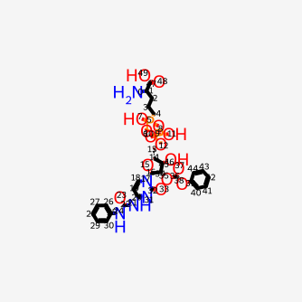 NC(CCCP(=O)(O)OP(=O)(O)OC[C@H]1O[C@@H](n2ccc(NC(=O)Nc3ccccc3)nc2=O)[C@@H](OC(=O)Oc2ccccc2)C1O)C(=O)O